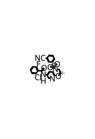 C[C@H]1CN(S(=O)(=O)c2cccc(C#N)c2)c2cc(NC(=O)c3c(F)cccc3Cl)cnc2O1